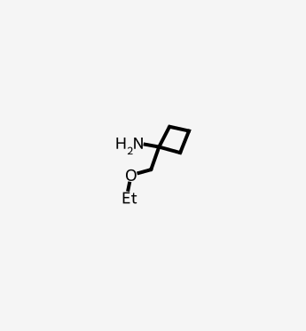 CCOCC1(N)CCC1